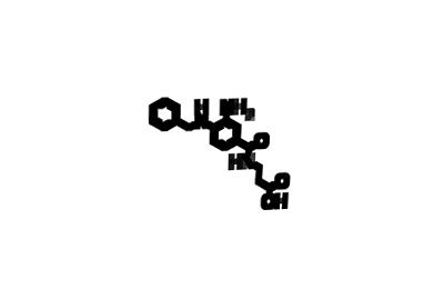 Nc1cc(C(=O)NCCC(=O)O)ccc1NCc1ccccc1